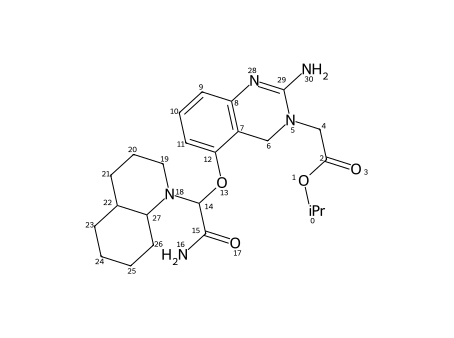 CC(C)OC(=O)CN1Cc2c(cccc2OC(C(N)=O)N2CCCC3CCCCC32)N=C1N